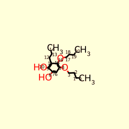 CCCCOc1cc(O)c(O)c(CCC)c1OCCCC